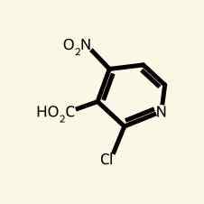 O=C(O)c1c([N+](=O)[O-])ccnc1Cl